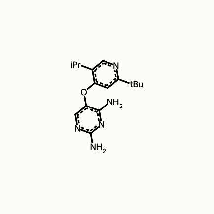 CC(C)c1cnc(C(C)(C)C)cc1Oc1cnc(N)nc1N